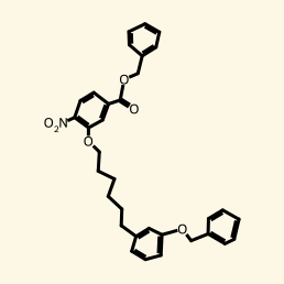 O=C(OCc1ccccc1)c1ccc([N+](=O)[O-])c(OCCCCCCc2cccc(OCc3ccccc3)c2)c1